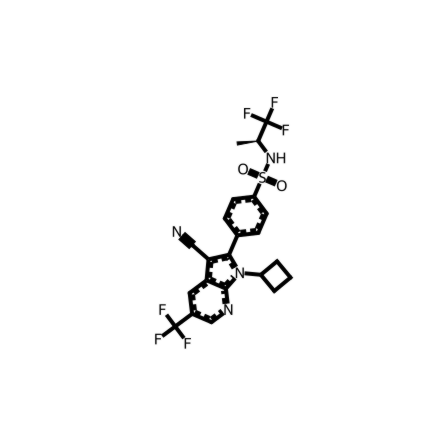 C[C@H](NS(=O)(=O)c1ccc(-c2c(C#N)c3cc(C(F)(F)F)cnc3n2C2CCC2)cc1)C(F)(F)F